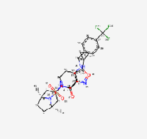 O=C(N[C@H]1C[C@H]2CC[C@@H](C1)N2S(=O)(=O)N1CCC(NCc2ccc(C(F)(F)F)cc2)CC1)c1cc(C2CC2)on1